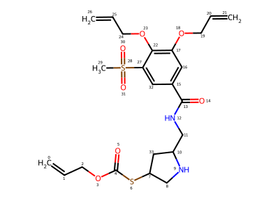 C=CCOC(=O)SC1CNC(CNC(=O)c2cc(OCC=C)c(OCC=C)c(S(C)(=O)=O)c2)C1